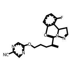 C=C(CCCOc1cnc(C#N)cn1)C(=O)N1N=CCC1c1c(C)cccc1F